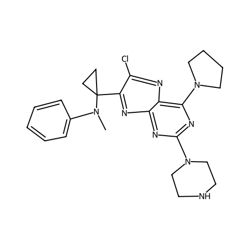 CN(c1ccccc1)C1(c2nc3nc(N4CCNCC4)nc(N4CCCC4)c3nc2Cl)CC1